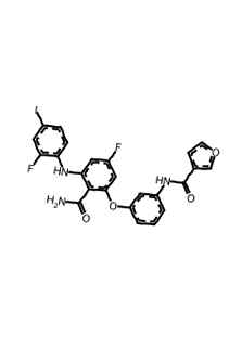 NC(=O)c1c(Nc2ccc(I)cc2F)cc(F)cc1Oc1cccc(NC(=O)c2ccoc2)c1